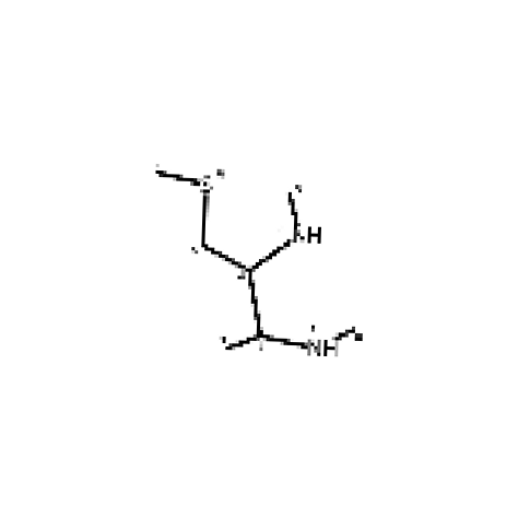 CNC(C)C(CSC)NC